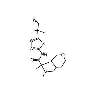 C=NCC(C)(C)c1nnc(NC(=O)C(C)(C)N(C)CC2CCOCC2)s1